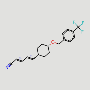 N#C/C=C/C=C/[C@H]1CC[C@H](OCc2ccc(C(F)(F)F)cc2)CC1